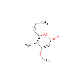 C/C=C\c1oc(=O)cc(OC)c1C